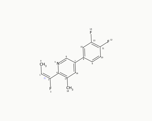 C/C=C(/F)c1ncc(-c2ccc(F)c(F)c2)cc1C